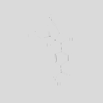 COC(=O)c1ccc(C(C)C(C)(CC#N)C(=O)OC)cc1